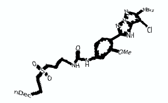 CCCCCCCCCCCCS(=O)(=O)CCCNC(=O)Nc1ccc(-c2nn3nc(C(C)(C)C)c(Cl)c3[nH]2)c(OC)c1